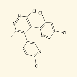 Cc1nnc(Cl)c(-c2ncc(Cl)cc2Cl)c1-c1ccc(Cl)nc1